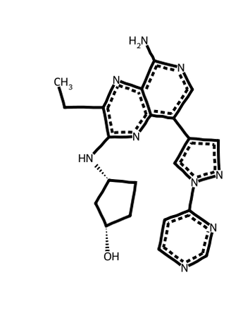 CCc1nc2c(N)ncc(-c3cnn(-c4ccncn4)c3)c2nc1N[C@@H]1CC[C@H](O)C1